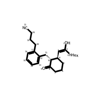 CCCCCC/C(O)=C\[C@H]1CCCC(=O)[C@@H]1Cc1ccccc1CCCC#N